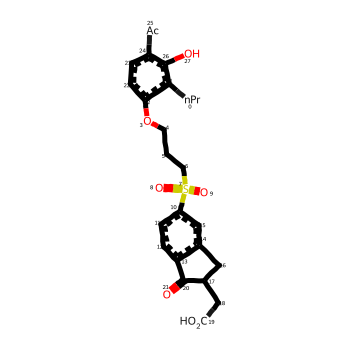 CCCc1c(OCCCS(=O)(=O)c2ccc3c(c2)CC(CC(=O)O)C3=O)ccc(C(C)=O)c1O